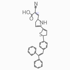 N#C/C(=C/C1CC=C(C2=CCC(c3ccc(C=C(c4ccccc4)c4ccccc4)cc3)S2)N1)C(=O)O